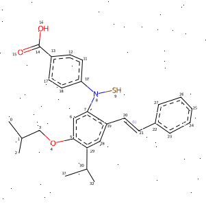 CC(C)COc1cc(N(S)c2ccc(C(=O)O)cc2)c(/C=C/c2ccccc2)cc1C(C)C